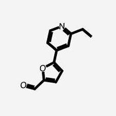 CCc1cc(-c2ccc(C=O)o2)ccn1